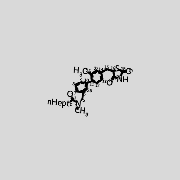 CCCCCCCC(=O)N(C)Cc1cccc(-c2ccc(CC3SC(=O)NC3=O)cc2C)c1